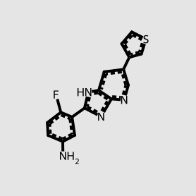 Nc1ccc(F)c(-c2nc3ncc(-c4ccsc4)cc3[nH]2)c1